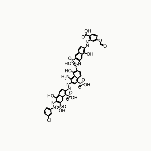 Nc1c(N=Nc2ccc3c(O)c(N=Nc4cccc(Cl)c4)c(S(=O)(=O)O)cc3c2S(=O)(=O)O)cc(S(=O)(=O)O)c2ccc(N=Nc3cc4c(O)c(N=Nc5cc(OC=O)ccc5C(=O)O)ccc4cc3S(=O)(=O)O)c(O)c12